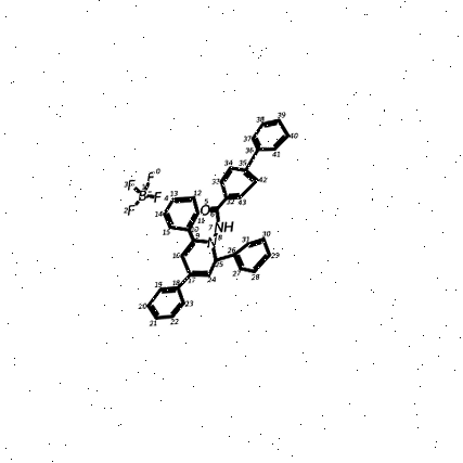 F[B-](F)(F)F.O=C(NN1C(c2ccccc2)=CC(c2ccccc2)=CC1c1ccccc1)c1ccc(-c2ccccc2)cc1